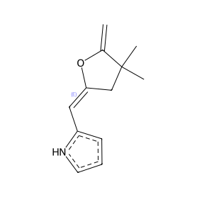 C=C1O/C(=C/c2ccc[nH]2)CC1(C)C